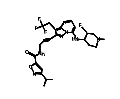 CC(C)c1cc(C(=O)NCC#Cc2nn3c(N[C@@H]4CCN(C)C[C@@H]4F)cccc3c2CC(F)(F)F)on1